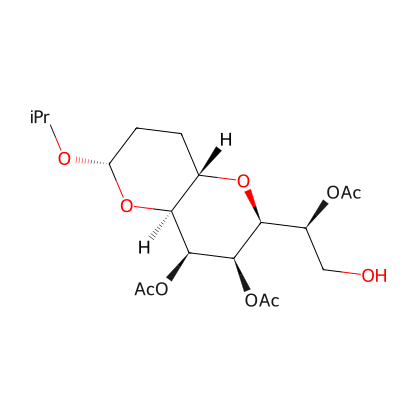 CC(=O)O[C@@H]1[C@H](OC(C)=O)[C@H]([C@H](CO)OC(C)=O)O[C@H]2CC[C@@H](OC(C)C)O[C@H]12